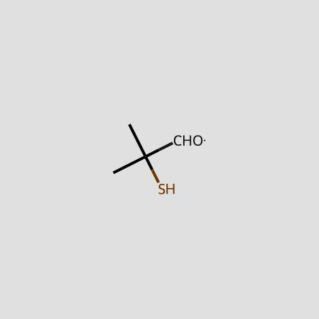 CC(C)(S)[C]=O